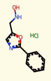 Cl.ONCc1cnc(-c2ccccc2)o1